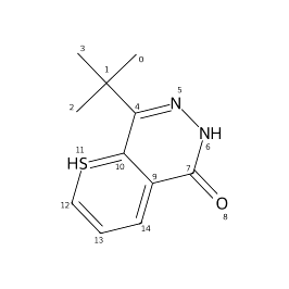 CC(C)(C)c1n[nH]c(=O)c2c1=[SH]C=CC=2